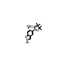 CC(=O)O.CC(C)n1cc2cc(B3OC(C)(C)C(C)(C)O3)ccc2n1.[KH]